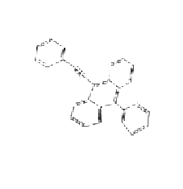 C(#Cc1c2ccccc2c(-c2ccccc2)c2ccccc12)c1ccccc1